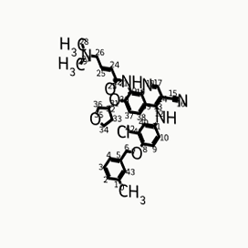 Cc1cccc(COc2ccc(Nc3c(C#N)cnc4c(NC(=O)/C=C/CN(C)C)c(OC5CCOC5)ccc34)cc2Cl)c1